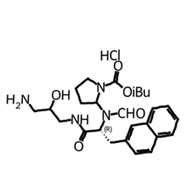 CC(C)COC(=O)N1CCCC1N(C=O)[C@H](Cc1ccc2ccccc2c1)C(=O)NCC(O)CN.Cl